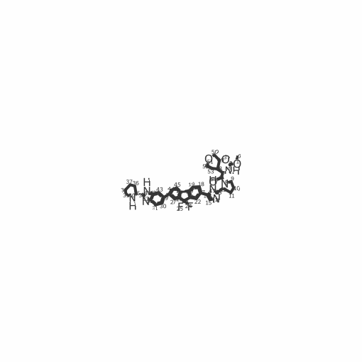 COC(=O)N[C@H](C(=O)N1CCCC1c1ncc(-c2ccc3c(c2)C(F)(F)c2cc(-c4ccc5nc([C@H]6CCCCN6)[nH]c5c4)ccc2-3)[nH]1)C1CCOCC1